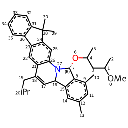 COC(C)CC(C)O[C@@H]1c2c(C)cc(C)cc2C2C=C(CC(C)C)c3cc4c(cc3N21)C(C)(C)c1ccccc1-4